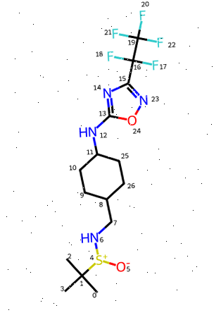 CC(C)(C)[S+]([O-])NCC1CCC(Nc2nc(C(F)(F)C(F)(F)F)no2)CC1